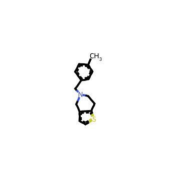 Cc1ccc(CN2CCc3sccc3C2)cc1